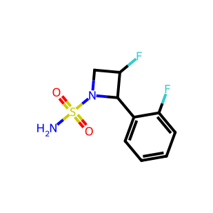 NS(=O)(=O)N1CC(F)C1c1ccccc1F